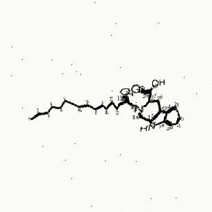 CCCCCCCCCCCCCC(=O)N1Cc2[nH]c3ccccc3c2CC1C(=O)O